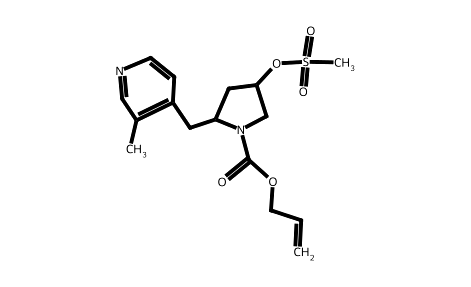 C=CCOC(=O)N1CC(OS(C)(=O)=O)CC1Cc1ccncc1C